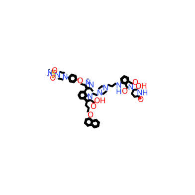 Cc1nn(C)c(COc2ccc(N3CCN(S(=O)(=O)N(C)C)CC3)cc2)c1-c1cccc2c(CCCOc3cccc4ccccc34)c(C(=O)O)n(CCN3CCN(CCCNc4cccc5c4C(=O)N(C4CCC(=O)NC4O)C5=O)CC3)c12